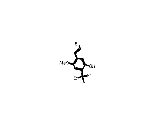 CC/C=C/c1cc(O)c(C(C)(CC)CC)cc1OC